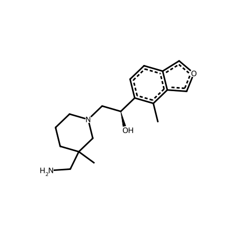 Cc1c([C@@H](O)CN2CCCC(C)(CN)C2)ccc2cocc12